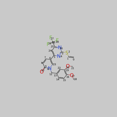 C=CSc1nc(-c2ccc(=O)n(Cc3ccc(OC)c(OC)c3)c2)cc(C(F)(F)F)n1